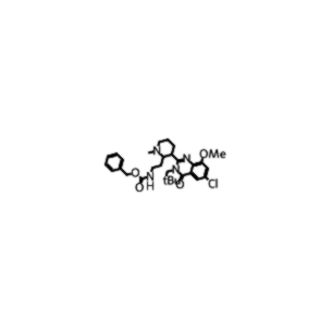 COc1cc(Cl)cc2c(=O)n(CC(C)(C)C)c(C3CCCN(C)C3CCNC(=O)OCc3ccccc3)nc12